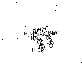 CP(=O)([O-])OO[C@@H]1C=C(F)[C@H](n2cnc3c(N)nc(F)nc32)O1.CP(=O)([O-])OO[C@@H]1C=C(F)[C@H](n2cnc3c(N)nc(F)nc32)O1.[Na+].[Na+]